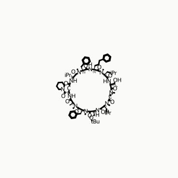 CC(C)C[C@H]1C(=O)N[C@@H]([C@@H](C)O)C(=O)N(C)CC(=O)N(C)[C@@H](CC(C)C)C(O)N[C@@H](COC(C)(C)C)C(=O)N(C)[C@@H](Cc2ccccc2)C(=O)N(C)[C@@H](C)C(=O)N[C@H](C(=O)N2CCCCC2)CC(=O)N[C@H](C(C)C)C(=O)N(C)[C@@H](Cc2ccccc2)C(=O)N[C@@H](CCCc2ccccc2)C(=O)N1C